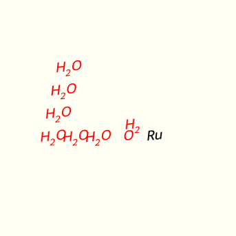 O.O.O.O.O.O.O.[Ru]